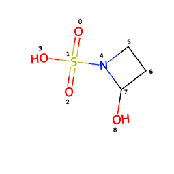 O=S(=O)(O)N1CCC1O